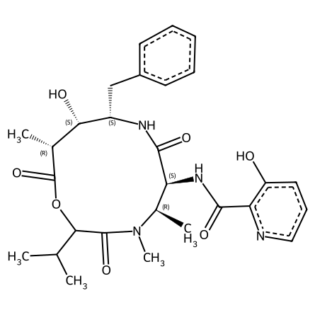 CC(C)C1OC(=O)[C@H](C)[C@H](O)[C@H](Cc2ccccc2)NC(=O)[C@@H](NC(=O)c2ncccc2O)[C@@H](C)N(C)C1=O